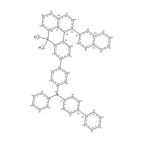 CC1(C)c2cc(-c3ccc(N(c4ccccc4)c4ccc(-c5ccccc5)cc4)cc3)ccc2-c2c(-c3ccc4ccccc4c3)ccc3cccc1c23